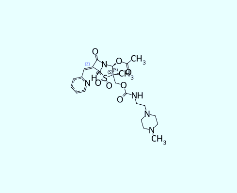 CC(=O)O[C@@H]1N2C(=O)/C(=C/c3ccccn3)[C@H]2S(=O)(=O)[C@@]1(C)COC(=O)NCCN1CCN(C)CC1